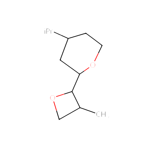 CC(C)C1CCOC(C2OCC2C)C1